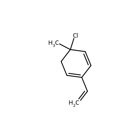 C=CC1=CCC(C)(Cl)C=C1